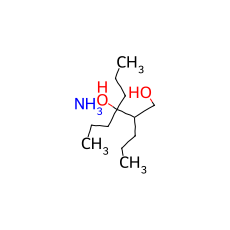 CCCC(CO)C(O)(CCC)CCC.N